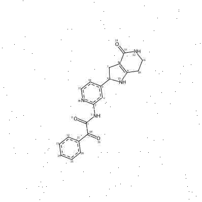 O=C(Nc1cc(C2CC3=C(CCNC3=O)N2)ccn1)C(=O)c1ccccc1